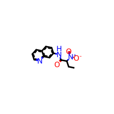 CCC(C(=O)Nc1ccc2cccnc2c1)[N+](=O)[O-]